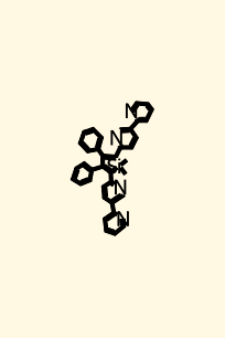 C[Si]1(C)C(c2ccc(-c3ccccn3)cn2)=C(c2ccccc2)C(c2ccccc2)=C1c1ccc(-c2ccccn2)cn1